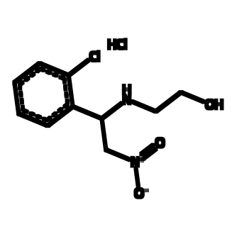 Cl.O=[N+]([O-])CC(NCCO)c1ccccc1Cl